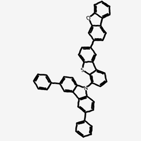 c1ccc(-c2ccc3c(c2)c2cc(-c4ccccc4)ccc2n3-c2cccc3c2sc2ccc(-c4ccc5c(c4)oc4ccccc45)cc23)cc1